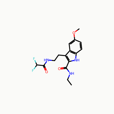 CCNC(=O)c1[nH]c2ccc(OC)cc2c1CCNC(=O)C(F)F